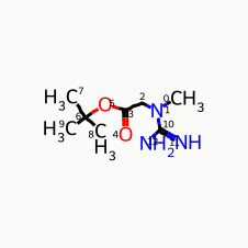 CN(CC(=O)OC(C)(C)C)C(=N)N